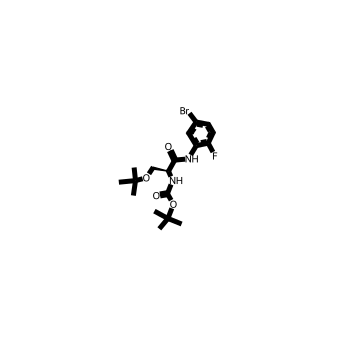 CC(C)(C)OC[C@H](NC(=O)OC(C)(C)C)C(=O)Nc1cc(Br)ccc1F